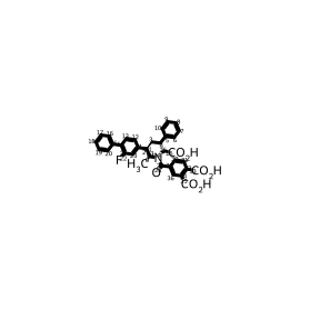 C[C@H]([C@H](CCc1ccccc1)c1ccc(-c2ccccc2)c(F)c1)N(CC(=O)O)C(=O)c1ccc(C(=O)O)c(C(=O)O)c1